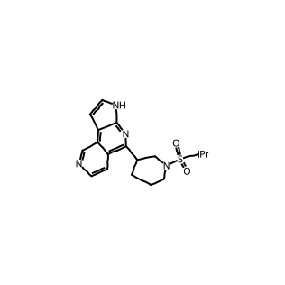 CC(C)S(=O)(=O)N1CCCC(c2nc3[nH]ccc3c3cnccc23)C1